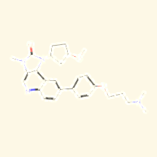 CO[C@@H]1CC[C@@H](n2c(=O)n(C)c3cnc4ccc(-c5ccc(OCCCN(C)C)cc5)cc4c32)C1